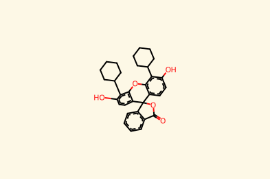 O=C1OC2(c3ccccc31)c1ccc(O)c(C3CCCCC3)c1Oc1c2ccc(O)c1C1CCCCC1